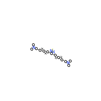 CC1(C)c2cc(-c3ccc(N(c4ccccc4)c4ccccc4)cc3)ccc2-c2cc3c(cc21)-c1ccc(-c2ccc(-c4ccc5c(c4)C(C)(C)c4cc6c(cc4-5)C(C)(C)c4cc(-c5ccc(N(c7ccccc7)c7ccccc7)cc5)ccc4-6)c4nsnc24)cc1C3(C)C